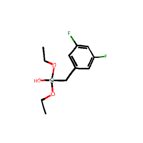 CCO[Si](O)(Cc1cc(F)cc(F)c1)OCC